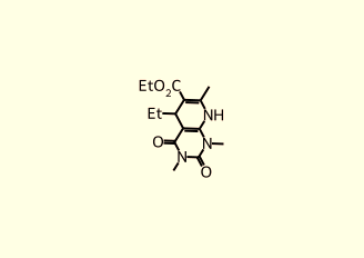 CCOC(=O)C1=C(C)Nc2c(c(=O)n(C)c(=O)n2C)C1CC